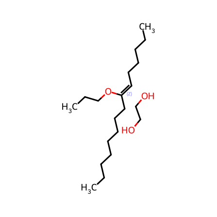 CCCCC/C=C(/CCCCCCCC)OCCC.OCCO